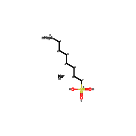 CCCCCCCCCCCC[CH]CS(=O)(=O)[O-].[Na+]